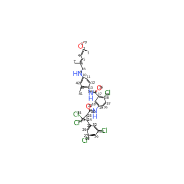 CO/C(C)=C/C=C(\C)CNc1ccc(NC(=O)c2cc(NC(=O)C3C(c4cc(Cl)cc(Cl)c4)C3(Cl)Cl)ccc2Cl)c(C)c1